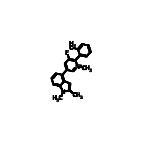 Cc1ccccc1-c1c(F)cc(-c2cccc3c2cc(C)n3C)c[n+]1C